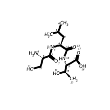 CC(C)C[C@H](NC(=O)[C@@H](N)CO)C(=O)N[C@H](C(=O)O)[C@@H](C)O